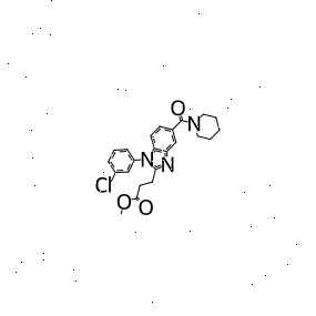 COC(=O)CCc1nc2cc(C(=O)N3CCCCC3)ccc2n1-c1cccc(Cl)c1